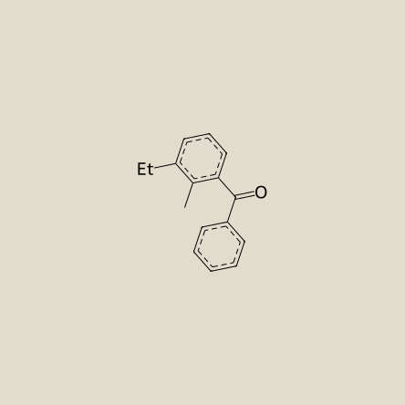 CCc1cccc(C(=O)c2ccccc2)c1C